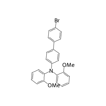 COc1ccccc1N(c1ccc(-c2ccc(Br)cc2)cc1)c1ccccc1OC